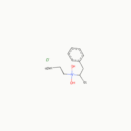 CCCCCCCCCCCC[N+](O)(O)C(CC)Cc1ccccc1.[Cl-]